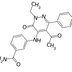 CCn1nc(-c2ccccc2)c(C(C)=O)c(Nc2cccc(C(N)=O)c2)c1=O